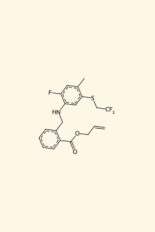 C=CCOC(=O)c1ccccc1CNc1cc(SCC(F)(F)F)c(C)cc1F